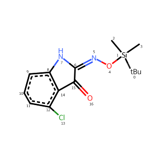 CC(C)(C)[Si](C)(C)ON=C1Nc2cccc(Cl)c2C1=O